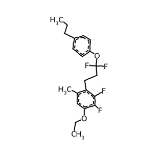 CCCc1ccc(OC(F)(F)CCc2c(C)cc(OCC)c(F)c2F)cc1